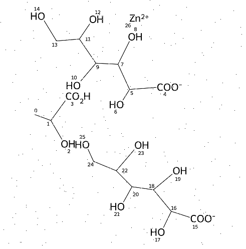 CC(O)C(=O)O.O=C([O-])C(O)C(O)C(O)C(O)CO.O=C([O-])C(O)C(O)C(O)C(O)CO.[Zn+2]